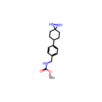 CC(C)(C)OC(=O)NCc1ccc(C2CCC3(CC2)NN3)cc1